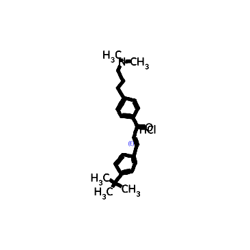 CN(C)CCCc1ccc(C(=O)/C=C/c2ccc(C(C)(C)C)cc2)cc1.Cl